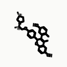 CC1=C(c2cc(O)ccc2C)C(c2ccc(OC[C@H](C)N3CC[C@@H](C)C3)cc2)Oc2ccc(O)cc21